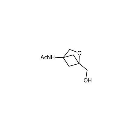 CC(=O)NC12COC(CO)(C1)C2